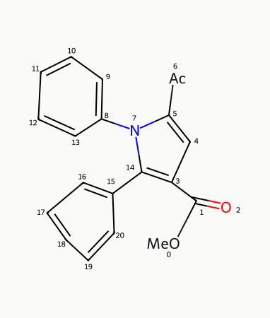 COC(=O)c1cc(C(C)=O)n(-c2ccccc2)c1-c1ccccc1